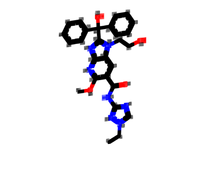 CCn1cnc(NC(=O)c2cc3c(nc2OC)nc(C(O)(c2ccccc2)c2ccccc2)n3CCO)n1